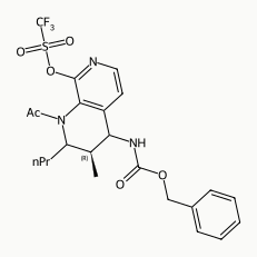 CCCC1[C@H](C)C(NC(=O)OCc2ccccc2)c2ccnc(OS(=O)(=O)C(F)(F)F)c2N1C(C)=O